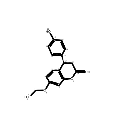 CCOc1ccc2c(c1)OC(=O)C[C@@H]2c1ccc(O)cc1